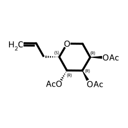 C=CC[C@@H]1OC[C@@H](OC(C)=O)[C@@H](OC(C)=O)[C@@H]1OC(C)=O